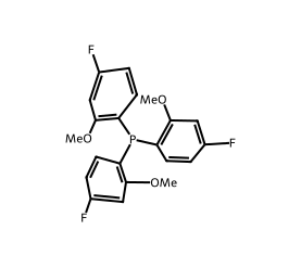 COc1cc(F)ccc1P(c1ccc(F)cc1OC)c1ccc(F)cc1OC